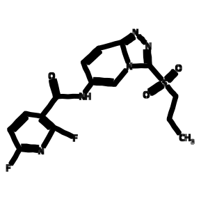 CCCS(=O)(=O)c1nnc2ccc(NC(=O)c3ccc(F)nc3F)cn12